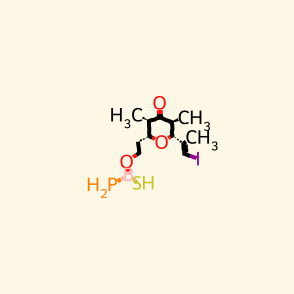 C/C(=C\I)[C@@H]1O[C@H](CCOB(P)S)[C@H](C)C(=O)[C@H]1C